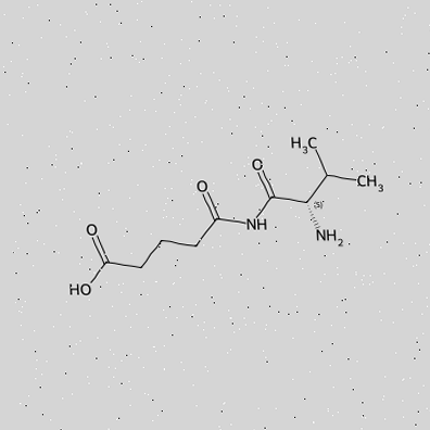 CC(C)[C@H](N)C(=O)NC(=O)CCCC(=O)O